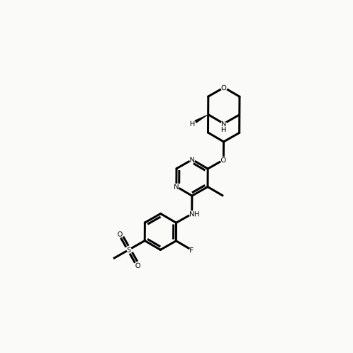 Cc1c(Nc2ccc(S(C)(=O)=O)cc2F)ncnc1OC1CC2COC[C@@H](C1)N2